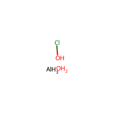 O.OCl.[AlH3]